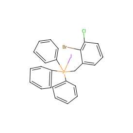 Clc1cccc(CP(I)(c2ccccc2)(c2ccccc2)c2ccccc2)c1Br